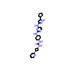 O=C(N[C@H]1CC[C@H](Nc2nccc(Nc3cc(C4CCCC4)[nH]n3)n2)CC1)N[C@H]1C[C@H](c2ccccn2)C1